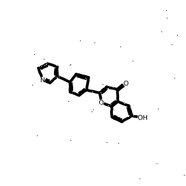 O=c1cc(-c2ccc(-c3cccnc3)cc2)oc2ccc(O)cc12